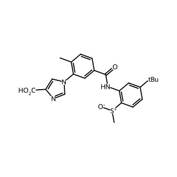 Cc1ccc(C(=O)Nc2cc(C(C)(C)C)ccc2[S+](C)[O-])cc1-n1cnc(C(=O)O)c1